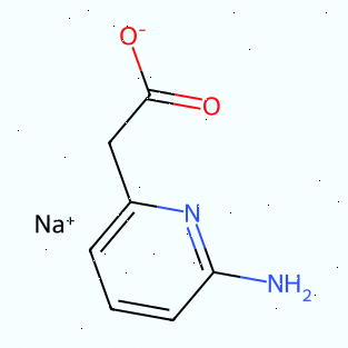 Nc1cccc(CC(=O)[O-])n1.[Na+]